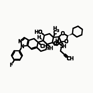 C#CCSC(=O)[C@@]12O[C@H](C3CCCCC3)O[C@@H]1C[C@H]1[C@@H]3CCC4=Cc5c(cnn5-c5ccc(F)cc5)C[C@]4(C)[C@H]3[C@@H](O)C[C@@]12C